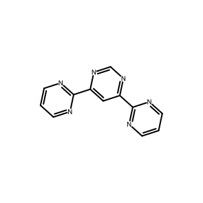 c1cnc(-c2cc(-c3ncccn3)ncn2)nc1